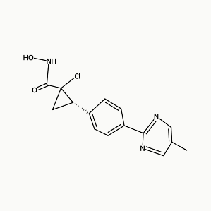 Cc1cnc(-c2ccc([C@@H]3CC3(Cl)C(=O)NO)cc2)nc1